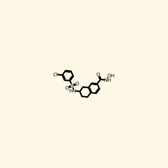 O=C(NO)c1ccc2c(c1)CC(NS(=O)(=O)c1cccc(Cl)c1)CC2